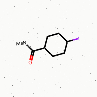 CNC(=O)C1CCC(I)CC1